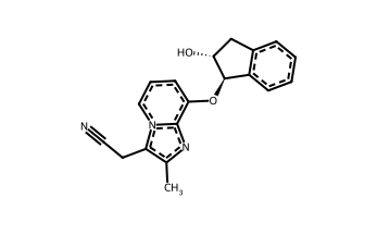 Cc1nc2c(O[C@@H]3c4ccccc4C[C@H]3O)cccn2c1CC#N